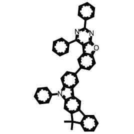 CC1(C)c2ccccc2-c2cc3c4cc(-c5ccc6oc7nc(-c8ccccc8)nc(-c8ccccc8)c7c6c5)ccc4n(-c4ccccc4)c3cc21